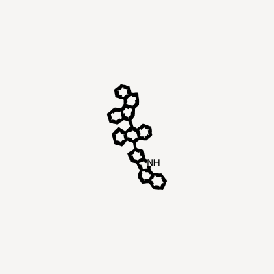 c1ccc2c(c1)ccc1c3ccc(-c4c5ccccc5c(-c5cc6ccc7ccccc7c6c6ccccc56)c5ccccc45)cc3[nH]c21